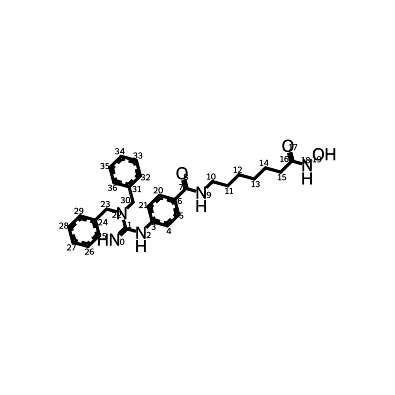 N=C(Nc1ccc(C(=O)NCCCCCCC(=O)NO)cc1)N(Cc1ccccc1)Cc1ccccc1